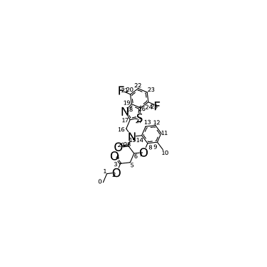 CCOC(=O)CC1Oc2c(C)cccc2N(Cc2nc3c(F)ccc(F)c3s2)C1=O